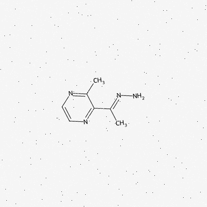 CC(=NN)c1nccnc1C